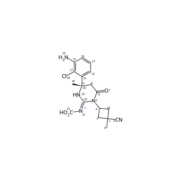 CC1(C#N)CC(N2C(=O)C[C@@](C)(c3cccc(N)c3Cl)N/C2=N\C(=O)O)C1